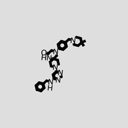 CC1(C)CCN(Cc2ccc(N3CC(=O)NC4(CCN(c5cc(NCc6ccccc6)ncn5)CC4)C3)cc2)CC1